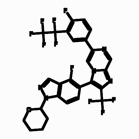 Fc1ccc(-c2cn3c(-c4ccc5c(cnn5C5CCCCO5)c4F)c(C(F)(F)F)nc3cn2)cc1C(F)(F)C(F)(F)F